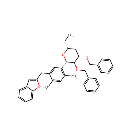 CC[C@@H]1C[C@H](OCc2ccccc2)[C@@H](OCc2ccccc2)[C@H](c2cc(Cc3cc4ccccc4o3)c(C)cc2C)O1